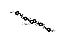 CCCc1ccc(CCC(=O)Oc2ccc(C(=O)Oc3ccc4cc(OC(=O)c5ccc(OC(=O)CCc6ccc(CCC)cc6)cc5)c(C(=O)OCC)cc4c3)cc2)cc1